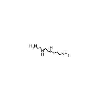 NCCNCCNCCC[SiH3]